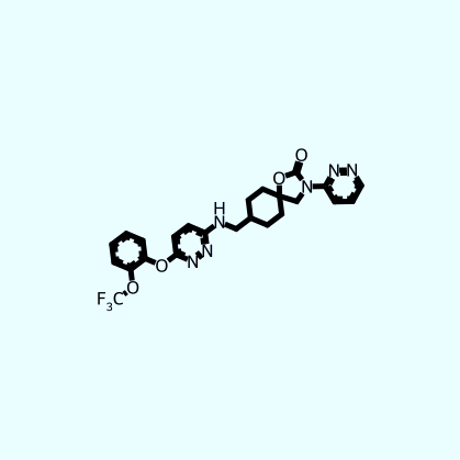 O=C1OC2(CCC(CNc3ccc(Oc4ccccc4OC(F)(F)F)nn3)CC2)CN1c1cccnn1